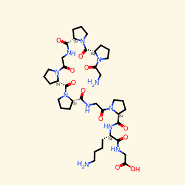 NCCCC[C@H](NC(=O)[C@@H]1CCCN1C(=O)CNC(=O)[C@@H]1CCCN1C(=O)[C@@H]1CCCN1C(=O)CNC(=O)[C@@H]1CCCN1C(=O)[C@@H]1CCCN1C(=O)CN)C(=O)NCC(=O)O